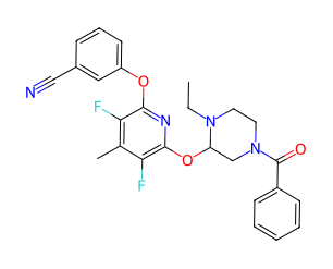 CCN1CCN(C(=O)c2ccccc2)CC1Oc1nc(Oc2cccc(C#N)c2)c(F)c(C)c1F